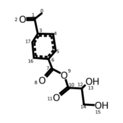 CC(=O)c1ccc(C(=O)OC(=O)C(O)CO)cc1